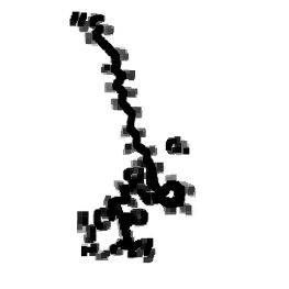 C=C(C)C(=O)N(C)CCC[N+](C)(C)C(CCCCCCCCCCCCCCCC)c1ccccc1.[Cl-]